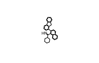 N=C(c1c(-c2cccc3c2Cc2ccccc2-3)ccc2ccccc12)C1CCCCC1